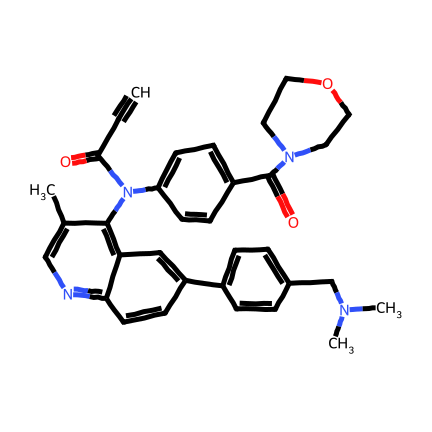 C#CC(=O)N(c1ccc(C(=O)N2CCOCC2)cc1)c1c(C)cnc2ccc(-c3ccc(CN(C)C)cc3)cc12